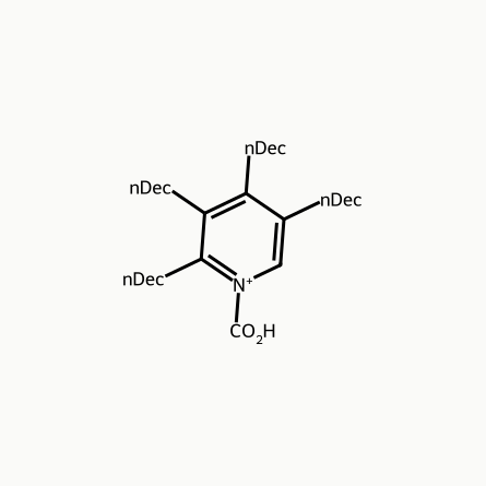 CCCCCCCCCCc1c[n+](C(=O)O)c(CCCCCCCCCC)c(CCCCCCCCCC)c1CCCCCCCCCC